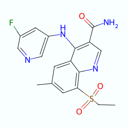 CCS(=O)(=O)c1cc(C)cc2c(Nc3cncc(F)c3)c(C(N)=O)cnc12